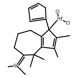 CC1=C(C)[C](C2=CC=CC2)([Hf]([Cl])[Cl])C2=C1C(C)(C)C(=[Si](C)C)CCC2